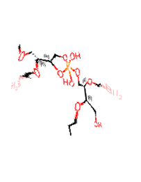 BCO[C@H](COP1(O)(O)OC[C@H]([C@@H](COC)OCB)O1)[C@@H](CO)OCCC